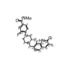 CNC(=O)c1ccc(N2CCN(Cc3ncc4cc(C)c(=O)[nH]c4c3F)CC2)c(F)n1